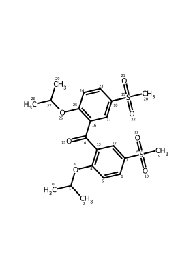 CC(C)Oc1ccc(S(C)(=O)=O)cc1C(=O)c1cc(S(C)(=O)=O)ccc1OC(C)C